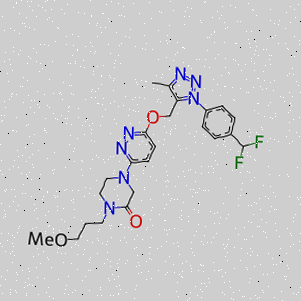 COCCCN1CCN(c2ccc(OCc3c(C)nnn3-c3ccc(C(F)F)cc3)nn2)CC1=O